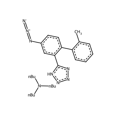 CCCCN(CCCC)CCCC.Cc1ccccc1-c1ccc(N=[N+]=[N-])cc1-c1nnn[nH]1